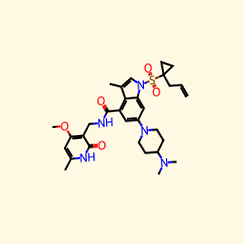 C=CCC1(S(=O)(=O)n2cc(C)c3c(C(=O)NCc4c(OC)cc(C)[nH]c4=O)cc(N4CCC(N(C)C)CC4)cc32)CC1